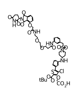 CC(C)(C)OC(=O)c1sc(-c2cccc(NC3CCN(S(=O)(=O)Cc4cccc(NC(=O)CCOCCOCCNC(=O)COc5cccc6c5C(=O)N(C5CCC(=O)NC5=O)C6=O)c4)CC3)c2)c(Cl)c1OCC(=O)O